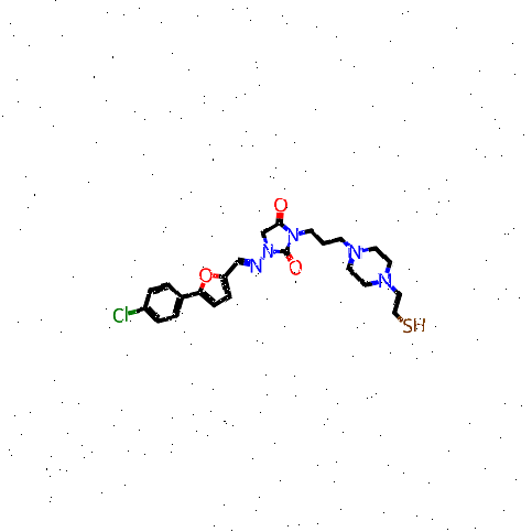 O=C1CN(/N=C/c2ccc(-c3ccc(Cl)cc3)o2)C(=O)N1CCCN1CCN(CCS)CC1